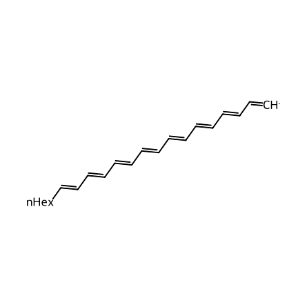 [CH]=CC=CC=CC=CC=CC=CC=CC=CCCCCCC